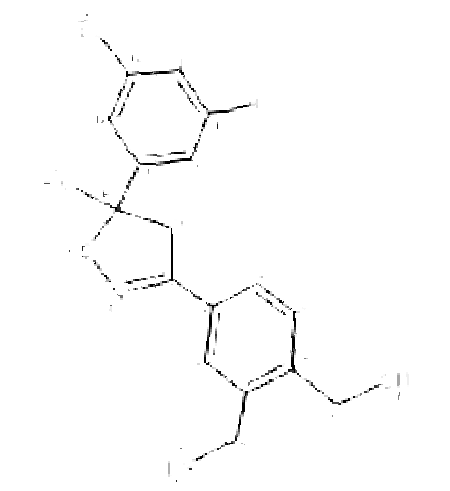 NCc1cc(C2=NSC(c3cc(Cl)cc(Cl)c3)(C(F)(F)F)C2)ccc1CO